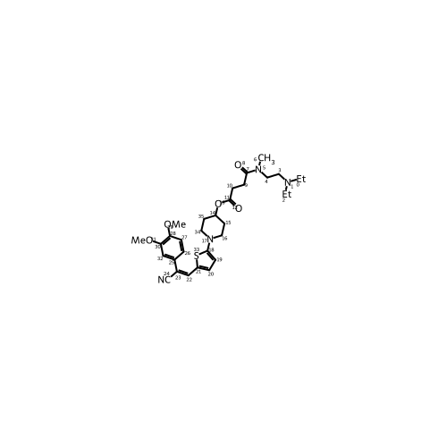 CCN(CC)CCN(C)C(=O)CCC(=O)OC1CCN(c2ccc(C=C(C#N)c3ccc(OC)c(OC)c3)s2)CC1